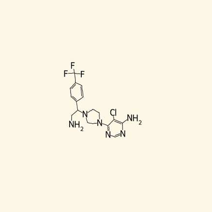 NCC(c1ccc(C(F)(F)F)cc1)N1CCN(c2ncnc(N)c2Cl)CC1